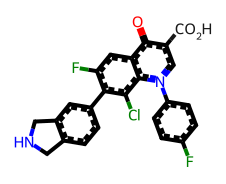 O=C(O)c1cn(-c2ccc(F)cc2)c2c(Cl)c(-c3ccc4c(c3)CNC4)c(F)cc2c1=O